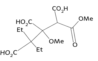 CCC(CC)(C(=O)O)C(OC)(C(=O)O)C(C(=O)O)C(=O)OC